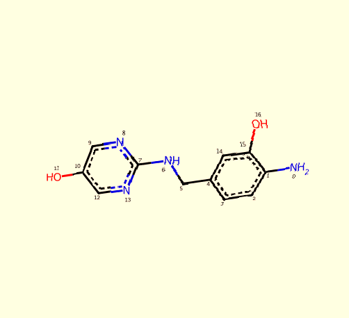 Nc1ccc(CNc2ncc(O)cn2)cc1O